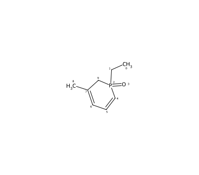 CCP1(=O)C=CC=C(C)C1